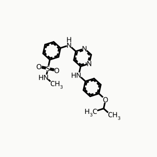 CNS(=O)(=O)c1cccc(Nc2cc(Nc3ccc(OC(C)C)cc3)ncn2)c1